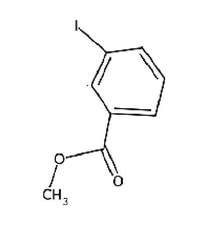 COC(=O)c1[c]c(I)ccc1